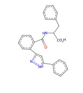 O=C(NC(Cc1ccccc1)C(=O)O)c1ccccc1-c1cc(-c2ccccc2)[nH]n1